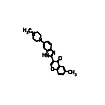 Cc1ccc2occ(-c3nc4ccc(N5CCN(C)CC5)cc4[nH]3)c(=O)c2c1